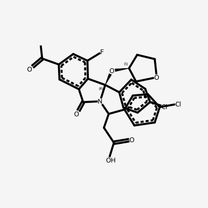 CC(=O)c1cc(F)c2c(c1)C(=O)N(C(CC(=O)O)c1ccc(Cl)cc1)[C@@]2(O[C@H]1CCOC1)c1ccc(Cl)cc1